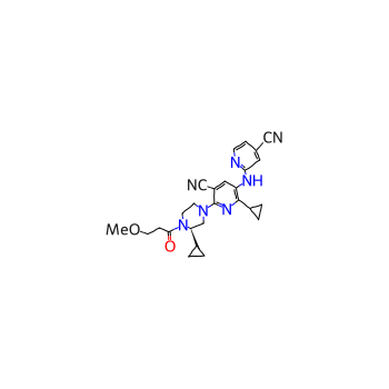 COCCC(=O)N1CCN(c2nc(C3CC3)c(Nc3cc(C#N)ccn3)cc2C#N)C[C@H]1C1CC1